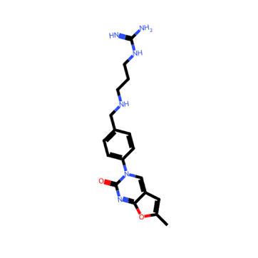 Cc1cc2cn(-c3ccc(CNCCCNC(=N)N)cc3)c(=O)nc2o1